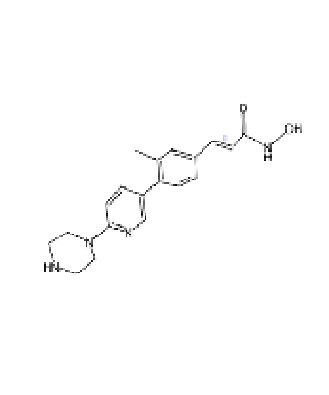 Cc1cc(/C=C/C(=O)NO)ccc1-c1ccc(N2CCNCC2)nc1